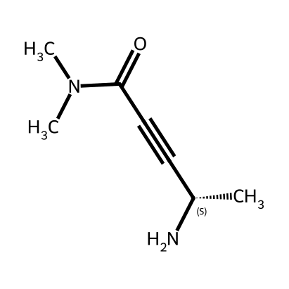 C[C@H](N)C#CC(=O)N(C)C